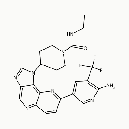 CCNC(=O)N1CCC(n2cnc3cnc4ccc(-c5cnc(N)c(C(F)(F)F)c5)nc4c32)CC1